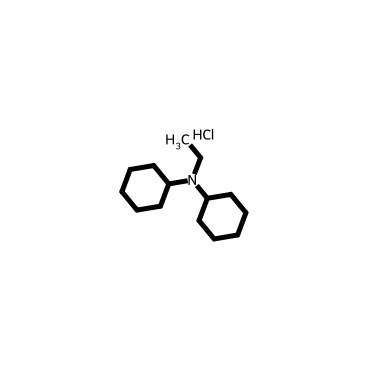 CCN(C1CCCCC1)C1CCCCC1.Cl